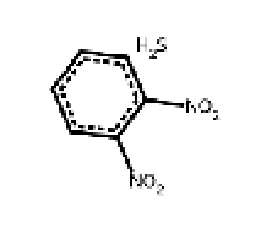 O=[N+]([O-])c1ccccc1[N+](=O)[O-].S